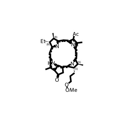 CC[C@H]1c2cc3[nH]c4c(c5nc(cc6[nH]c(cc(n2)[C@@H]1C)c(C(C)=O)c6C)[C@@H](C)[C@@H]5CCCOOC)CC(=O)c4c3C